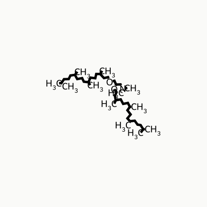 CC(C)CCCC(C)CCCC(C)CCCC(C)CCOCC(CN(C)C)OCCC(C)CCCC(C)CCCC(C)CCCC(C)C